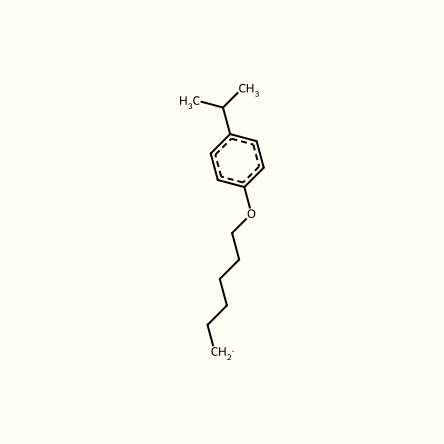 [CH2]CCCCCOc1ccc(C(C)C)cc1